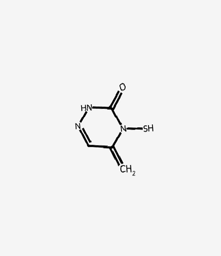 C=C1C=NNC(=O)N1S